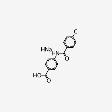 O=C(O)c1ccc(NC(=O)c2ccc(Cl)cc2)cc1.[NaH]